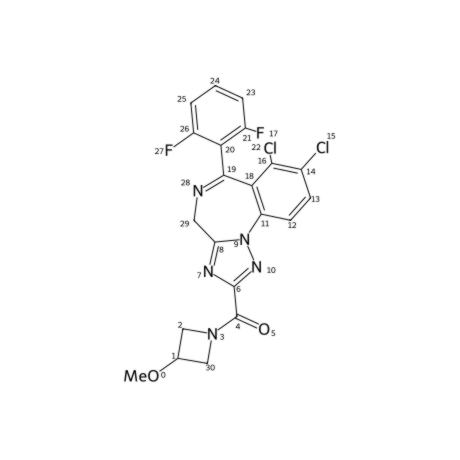 COC1CN(C(=O)c2nc3n(n2)-c2ccc(Cl)c(Cl)c2C(c2c(F)cccc2F)=NC3)C1